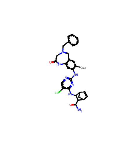 COc1cc2c(cc1Nc1ncc(Cl)c(NC3C4C=CC(C4)C3C(N)=O)n1)NC(=O)CN(Cc1ccccc1)C2